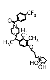 Cc1c(OCCCN2CCCS2(O)O)ccc([C@@H](C)N2CCN(C(=O)c3ccc(C(F)(F)F)cc3)CC2)c1C